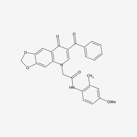 COc1ccc(NC(=O)Cn2cc(C(=O)c3ccccc3)c(=O)c3cc4c(cc32)OCO4)c(C)c1